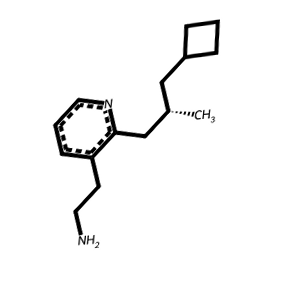 C[C@H](Cc1ncccc1CCN)CC1CCC1